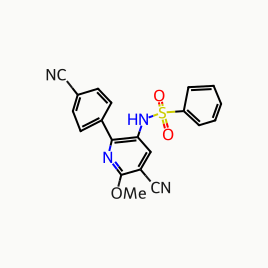 COc1nc(-c2ccc(C#N)cc2)c(NS(=O)(=O)c2ccccc2)cc1C#N